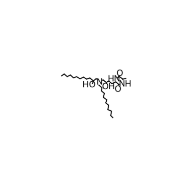 CCCCCCCCCCC(O)CN(CCCCC1NC(=O)C(C)NC1=O)CC(O)CCCCCCCCCC